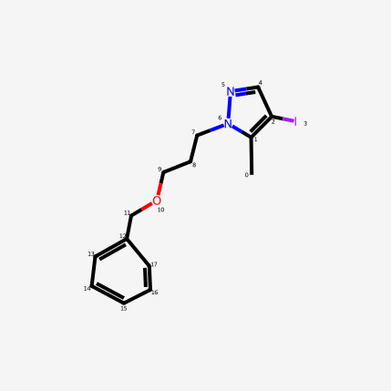 Cc1c(I)cnn1CCCOCc1ccccc1